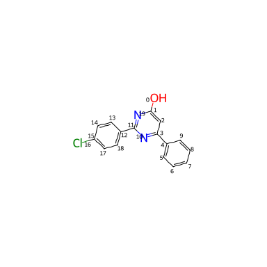 Oc1cc(-c2ccccc2)nc(-c2ccc(Cl)cc2)n1